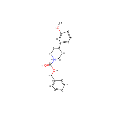 CCOc1cccc(C2CCN(C(=O)OCc3ccccc3)CC2)c1